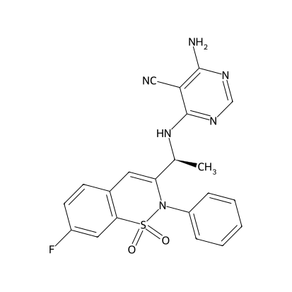 C[C@H](Nc1ncnc(N)c1C#N)C1=Cc2ccc(F)cc2S(=O)(=O)N1c1ccccc1